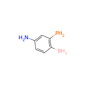 Bc1ccc(N)cc1P